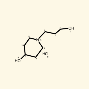 Cl.OCCCN1CCC(O)CC1